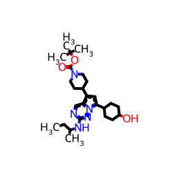 CCC(C)Nc1ncc2c(C3CCN(C(=O)OC(C)(C)C)CC3)cc(C3CCC(O)CC3)n2n1